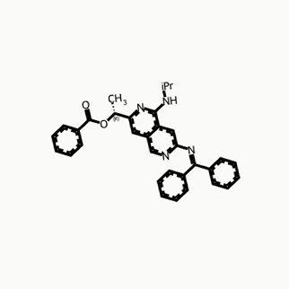 CC(C)Nc1nc([C@@H](C)OC(=O)c2ccccc2)cc2cnc(N=C(c3ccccc3)c3ccccc3)cc12